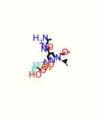 COCCN(C[C@@H]1C[C@H]1C)c1cc(-c2nnc(C(C)N)o2)cc(N(C)S(C)(=O)=O)n1.O=C(O)C(F)(F)F